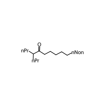 CCCCCCCCCCCCCCC(=O)C(CCC)CCC